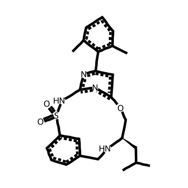 Cc1cccc(C)c1-c1cc2nc(n1)NS(=O)(=O)c1cccc(c1)CN[C@H](CC(C)C)CO2